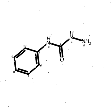 NNC(=O)Nc1ccccc1